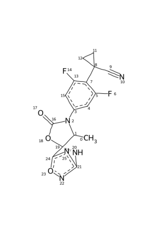 CC1N(c2cc(F)c(C3(C#N)CC3)c(F)c2)C(=O)O[C@@]12Nc1noc2n1